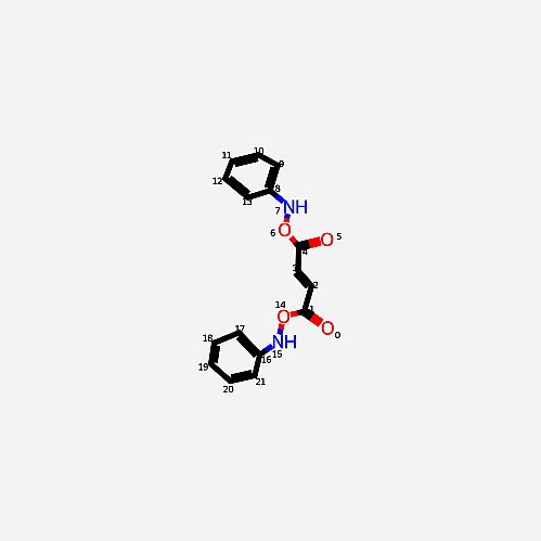 O=C(C=CC(=O)ONc1ccccc1)ONc1ccccc1